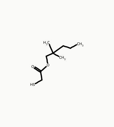 CCCC(C)(C)COC(=O)CS